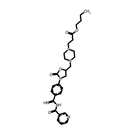 CCCCOC(=O)CCN1CCN(CC2CN(c3ccc(C(=N)NC(=O)c4cccnc4)cc3)C(=O)O2)CC1